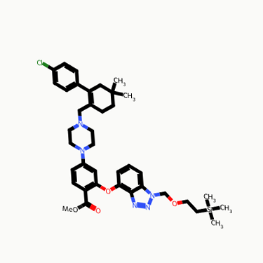 COC(=O)c1ccc(N2CCN(CC3=C(c4ccc(Cl)cc4)CC(C)(C)CC3)CC2)cc1Oc1cccc2c1nnn2COCC[Si](C)(C)C